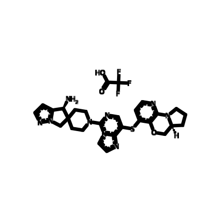 N[C@@H]1c2ccnn2CC12CCN(c1ncc(Sc3ccnc4c3OC[C@@H]3CCCN43)c3nccn13)CC2.O=C(O)C(F)(F)F